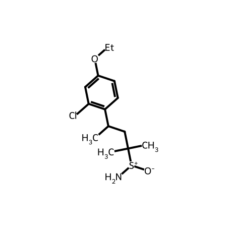 CCOc1ccc(C(C)CC(C)(C)[S+](N)[O-])c(Cl)c1